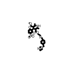 COC(=O)C1=C(C)NC(C)=C(C(=O)OCC/N=C/c2ccc(Cn3ccnc3)cc2)C1c1cccc([N+](=O)[O-])c1